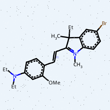 CCN(CC)c1ccc(/C=C/C2=[N+](C)c3ccc(Br)cc3C2(C)CC)c(OC)c1